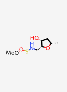 COOSNC[C@H]1O[C@@H](C)C[C@H]1O